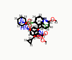 COC(=O)c1ccc(NC(=O)N2C3CC(OCc4c(-c5c(Cl)cccc5Cl)noc4C4CC4)CC2C3)cc1-c1ccc(OC)nc1